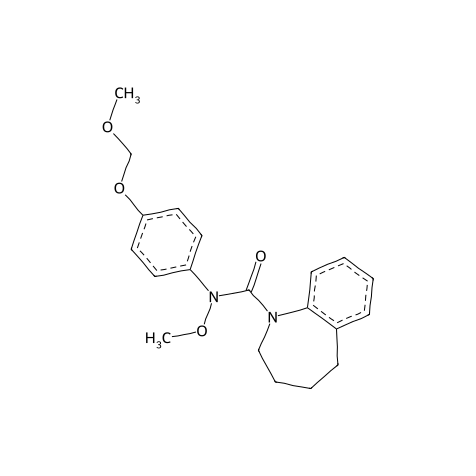 COCOc1ccc(N(OC)C(=O)N2CCCCc3ccccc32)cc1